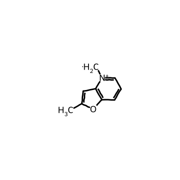 [CH2][n+]1cccc2oc(C)cc21